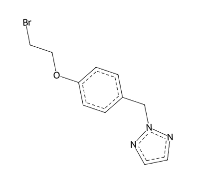 BrCCOc1ccc(Cn2nccn2)cc1